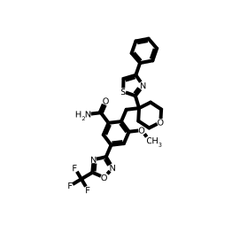 COc1cc(-c2noc(C(F)(F)F)n2)cc(C(N)=O)c1CC1(c2nc(-c3ccccc3)cs2)CCOCC1